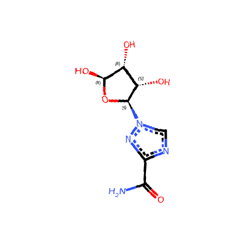 NC(=O)c1ncn([C@H]2O[C@@H](O)[C@H](O)[C@@H]2O)n1